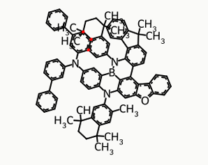 Cc1cc2c(cc1N1c3ccc(N(c4cccc(-c5ccccc5)c4)c4cccc(-c5ccccc5)c4)cc3B3c4c1cc1oc5ccccc5c1c4-c1ccc4c(c1N3c1ccc3c(c1)C(C)(C)CCC3(C)C)-c1ccccc1C4(C)C)C(C)(C)CCC2(C)C